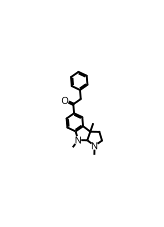 CN1CCC2(C)c3cc(C(=O)Cc4ccccc4)ccc3N(C)C12